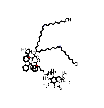 CCCCCCCC/C=C\CCCCCCCCC(CCCCCCC/C=C\CCCCCCCC)OC(=O)[C@H](Cc1c[nH]cn1)N(C(=O)[C@@H](N)CCCNC(=N)Nc1c(C)c(C)c2c(c1C)CC(C)(C)O2)C(c1ccccc1)(c1ccccc1)c1ccccc1